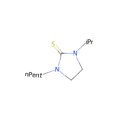 CCCCCN1CCN(C(C)C)C1=S